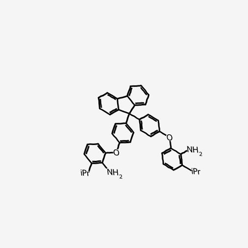 CC(C)c1cccc(Oc2ccc(C3(c4ccc(Oc5cccc(C(C)C)c5N)cc4)c4ccccc4-c4ccccc43)cc2)c1N